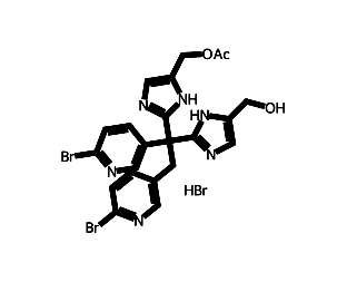 Br.CC(=O)OCc1cnc(C(Cc2ccc(Br)nc2)(c2ccc(Br)nc2)c2ncc(CO)[nH]2)[nH]1